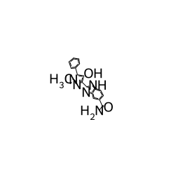 Cn1nc(-c2nc3cc(C(N)=O)ccc3[nH]2)c(O)c1-c1ccccc1